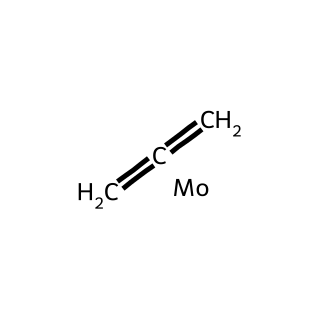 C=C=C.[Mo]